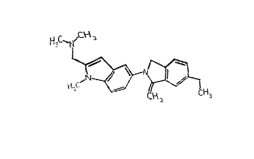 C=C1c2cc(CC)ccc2CN1c1ccc2c(c1)cc(CN(C)C)n2C